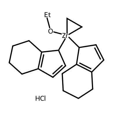 CC[O][Zr]1([CH]2C=CC3=C2CCCC3)([CH]2C=CC3=C2CCCC3)[CH2][CH2]1.Cl